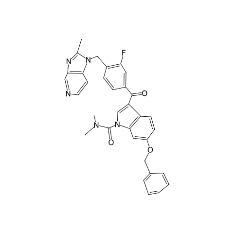 Cc1nc2cnccc2n1Cc1ccc(C(=O)c2cn(C(=O)N(C)C)c3cc(OCc4ccccc4)ccc23)cc1F